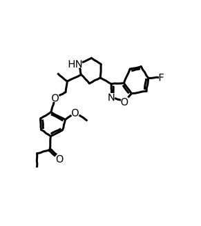 CCC(=O)c1ccc(OCC(C)C2CC(c3noc4cc(F)ccc34)CCN2)c(OC)c1